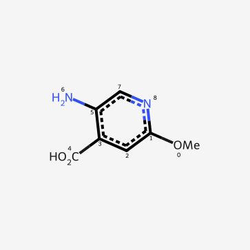 COc1cc(C(=O)O)c(N)cn1